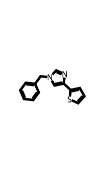 c1ccc(Cn2cnc(-c3cccs3)c2)cc1